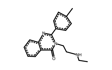 CCNCCn1c(-c2ccc(C)cc2)nc2ccccc2c1=O